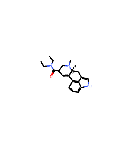 CCN(CC)C(=O)C1C=C2c3cccc4[nH]cc(c34)C[C@H]2N(C)C1